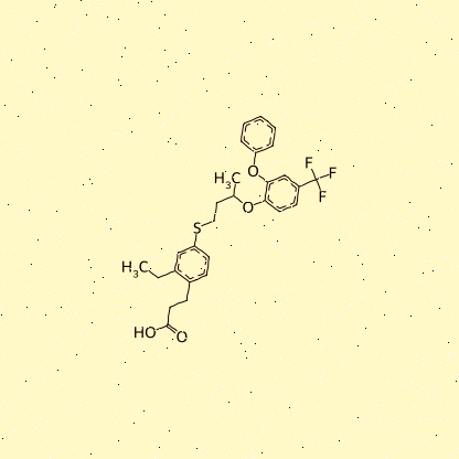 CCc1cc(SCCC(C)Oc2ccc(C(F)(F)F)cc2Oc2ccccc2)ccc1CCC(=O)O